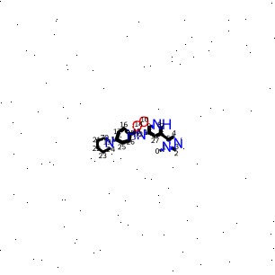 Cn1cncc1-c1c[nH]c(=O)c(NC(=O)c2ccc(N3CCCCC3)cc2)c1